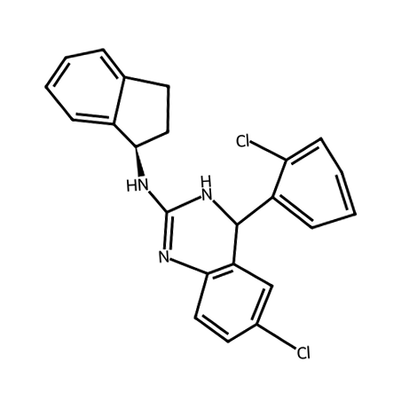 Clc1ccc2c(c1)C(c1ccccc1Cl)NC(N[C@@H]1CCc3ccccc31)=N2